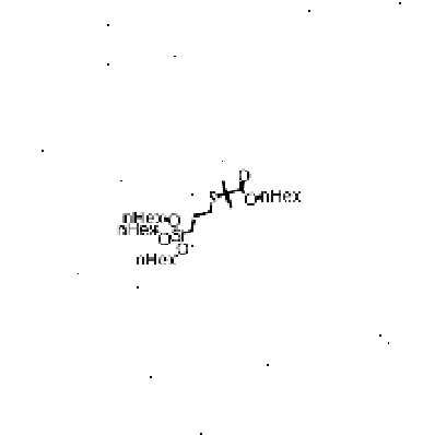 CCCCCCOC(=O)C(C)(C)SCCC[Si](OCCCCCC)(OCCCCCC)OCCCCCC